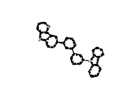 c1cc(-c2cccc(-n3c4ccccc4c4ccccc43)c2)cc(-c2ccc3sc4cccnc4c3c2)c1